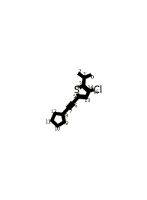 CC(C)c1sc(C#CC2CCCC2)cc1Cl